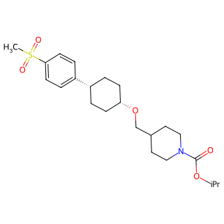 CC(C)OC(=O)N1CCC(CO[C@H]2CC[C@@H](c3ccc(S(C)(=O)=O)cc3)CC2)CC1